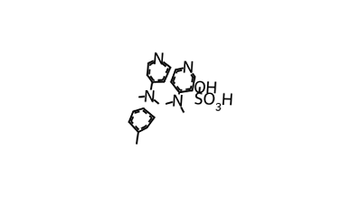 CN(C)c1ccncc1.CN(C)c1ccncc1.Cc1ccccc1.O=S(=O)(O)O